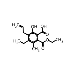 C=CCc1c(O)c(C(=O)O)c(C(=O)OCC)c(C)c1CC